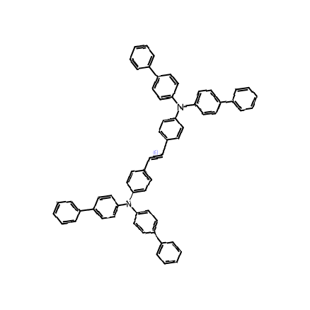 C(=C\c1ccc(N(c2ccc(-c3ccccc3)cc2)c2ccc(-c3ccccc3)cc2)cc1)/c1ccc(N(c2ccc(-c3ccccc3)cc2)c2ccc(-c3ccccc3)cc2)cc1